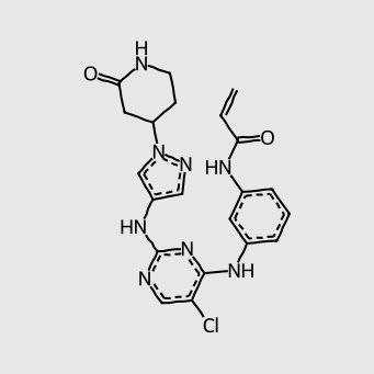 C=CC(=O)Nc1cccc(Nc2nc(Nc3cnn(C4CCNC(=O)C4)c3)ncc2Cl)c1